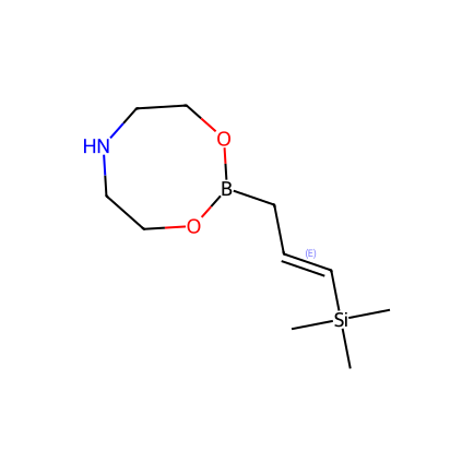 C[Si](C)(C)/C=C/CB1OCCNCCO1